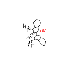 Cc1c(-c2c(C)c(C)c3c(c2O)CCCC3)cc2c(c1C)CCCC2